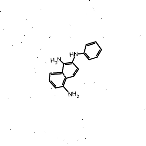 Nc1cccc2c(N)c(Nc3ccccc3)ccc12